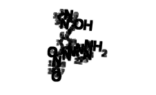 CC(O)(C#Cc1ccc2c(C(=O)N3CC4(COC4)C3)nn(-c3ccnc(N)n3)c2c1)c1ncccn1